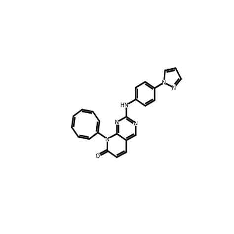 O=c1ccc2cnc(Nc3ccc(-n4cccn4)cc3)nc2n1C1=CC=CC=CC=C1